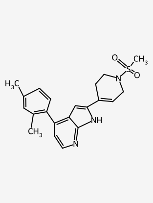 Cc1ccc(-c2ccnc3[nH]c(C4=CCN(S(C)(=O)=O)CC4)cc23)c(C)c1